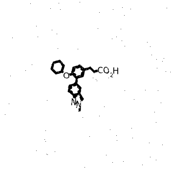 Cn1cc2cc(-c3cc(CCC(=O)O)ccc3OC3CCCCC3)ccc2n1